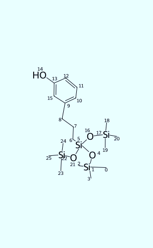 C[Si](C)(C)O[Si](CCCc1cccc(O)c1)(O[Si](C)(C)C)O[Si](C)(C)C